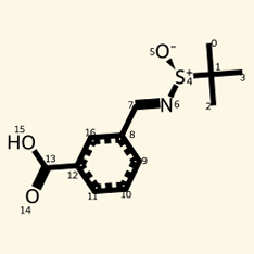 CC(C)(C)[S@+]([O-])N=Cc1cccc(C(=O)O)c1